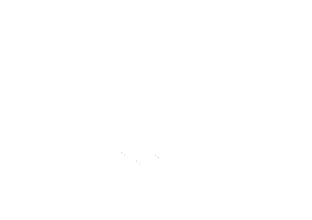 Cc1cc(C(F)(C(F)(F)F)C(F)(F)F)cc2c(=S)[nH]nnc12